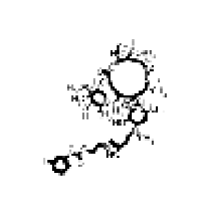 CC[C@H]1OC(=O)[C@H](C)[C@@H](C2C[C@@](C)(OC)[C@@H](O)[C@H](C)O2)[C@H](C)[C@@H](O[C@@H]2O[C@H](C)C[C@H](N(C)CCc3cn(CCOC(=O)Nc4cccc(F)c4)nn3)[C@H]2O)[C@](C)(O)C[C@@H](C)CN(C)[C@H](C)[C@@H](O)[C@]1(C)O